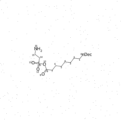 CCCCCCCCCCCCCCCCCC(=O)OS(=O)(=O)CCN